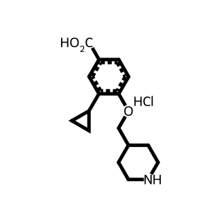 Cl.O=C(O)c1ccc(OCC2CCNCC2)c(C2CC2)c1